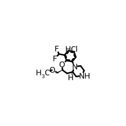 COC[C@@H]1C[C@@H]2CNCCN2c2cccc(C(F)F)c2O1.Cl